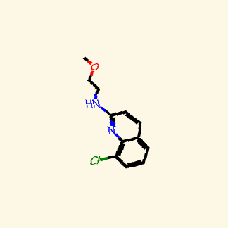 COCCNc1ccc2cccc(Cl)c2n1